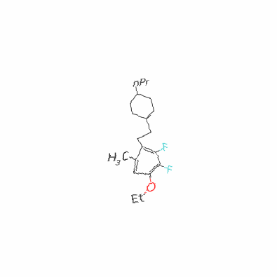 CCCC1CCC(CCc2c(C)cc(OCC)c(F)c2F)CC1